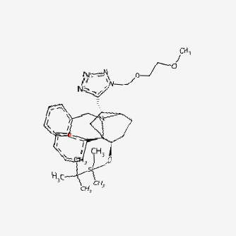 COCCOCn1nnnc1[C@H]1C[C@@]2(c3ccccc3)[C@H](O[Si](C)(C)C(C)(C)C)CCC1N2Cc1ccccc1